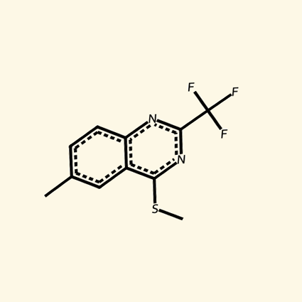 CSc1nc(C(F)(F)F)nc2ccc(C)cc12